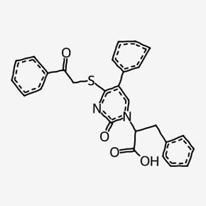 O=C(CSc1nc(=O)n(C(Cc2ccccc2)C(=O)O)cc1-c1ccccc1)c1ccccc1